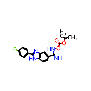 CC(C)OC(=O)ONC(=N)c1ccc2[nH]c(-c3ccc(F)cc3)nc2c1